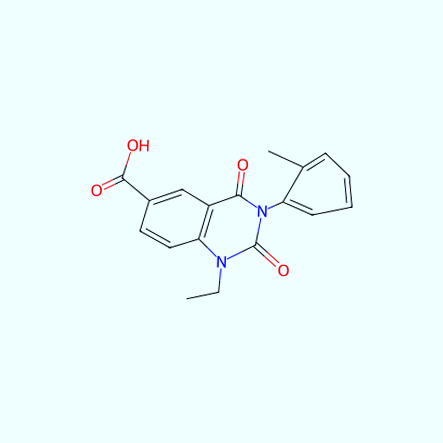 CCn1c(=O)n(-c2ccccc2C)c(=O)c2cc(C(=O)O)ccc21